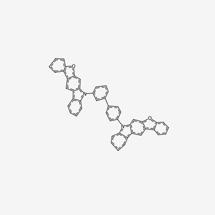 c1cc(-c2ccc(-n3c4ccccc4c4cc5c(cc43)oc3ccccc35)cc2)cc(-n2c3ccccc3c3cc4c(cc32)oc2ccccc24)c1